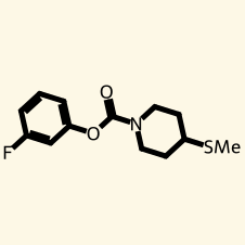 CSC1CCN(C(=O)Oc2cccc(F)c2)CC1